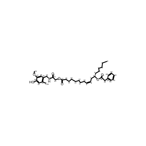 CCCCCC[C@H](C/C=C\CCCCCCCC(=O)OCC(=O)NCc1cc(OC)c(O)cc1I)OC(=O)Cc1ccccc1